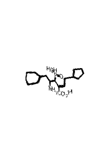 NC(CC1CCCCC1)C(/C(=C\CC1CCCC1)C(=O)O)[PH](=O)O